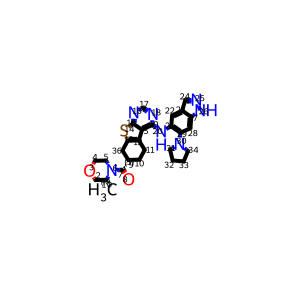 C[C@@H]1COCCN1C(=O)[C@H]1CCc2c(sc3ncnc(Nc4cc5cn[nH]c5cc4N4CCCC4)c23)C1